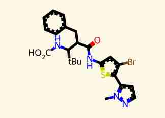 Cn1nccc1-c1sc(NC(=O)C(Cc2ccccc2)C(NC(=O)O)C(C)(C)C)cc1Br